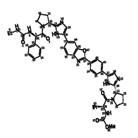 CCNC(=O)N[C@@H](C(=O)N1CCC[C@H]1c1ncc(-c2ccc3nc(-c4ccc(-c5cnc([C@@H]6CCCN6C(=O)[C@@H](NC(=O)OC)C(C)C)[nH]5)cc4)oc3c2)[nH]1)c1ccccc1